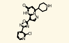 O=c1cc(C2CCNCC2)n2ncc(-c3nc(-c4cccnc4Cl)no3)c2[nH]1